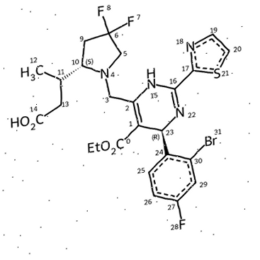 CCOC(=O)C1=C(CN2CC(F)(F)C[C@H]2C(C)CC(=O)O)NC(c2nccs2)=N[C@H]1c1ccc(F)cc1Br